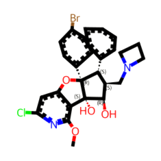 COc1nc(Cl)cc2c1[C@]1(O)[C@H](O)[C@H](CN3CCC3)[C@@H](c3ccccc3)[C@]1(c1ccc(Br)cc1)O2